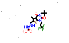 Cc1c(CNNC(=O)O)sc2c1c(=O)n(CC(C)(C)C)c(=O)n2CCC(F)(F)F